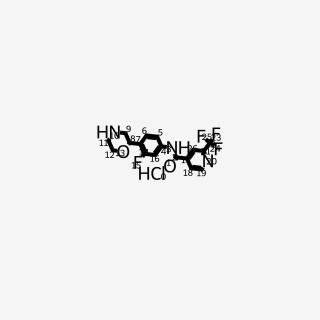 Cl.O=C(Nc1ccc(C2CNCCO2)c(F)c1)c1ccnc(C(F)(F)F)c1